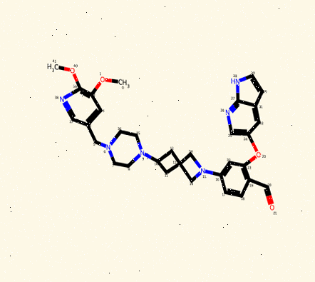 COc1cc(CN2CCN(C3CC4(C3)CN(c3ccc(C=O)c(Oc5cnc6[nH]ccc6c5)c3)C4)CC2)cnc1OC